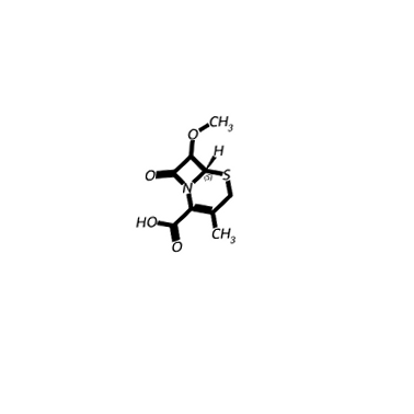 COC1C(=O)N2C(C(=O)O)=C(C)CS[C@@H]12